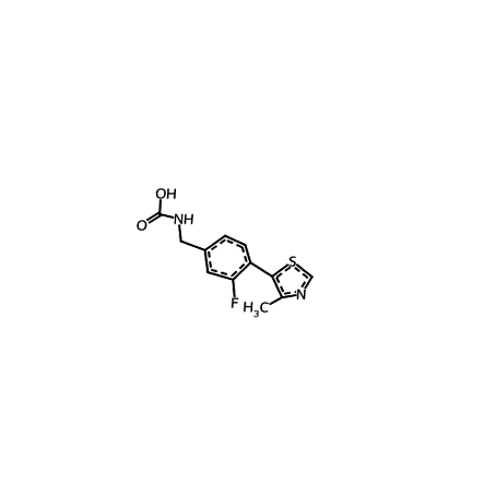 Cc1ncsc1-c1ccc(CNC(=O)O)cc1F